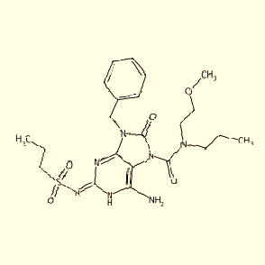 CCCN(CCOC)C(=O)n1c(=O)n(Cc2ccccc2)c2nc(=NS(=O)(=O)CCC)[nH]c(N)c21